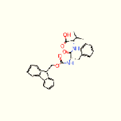 CC(C)[C@H](NC(=O)[C@H](Cc1ccccc1)NC(=O)OCC1c2ccccc2-c2ccccc21)C(=O)O